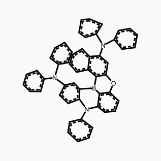 c1ccc(N(c2ccccc2)c2ccc3c(c2)B2c4c(cccc4N3c3ccccc3)Oc3cc(N(c4ccccc4)c4ccccc4)c4ccccc4c32)cc1